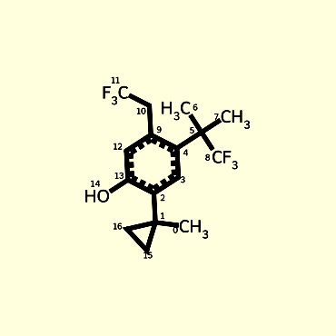 CC1(c2cc(C(C)(C)C(F)(F)F)c(CC(F)(F)F)cc2O)CC1